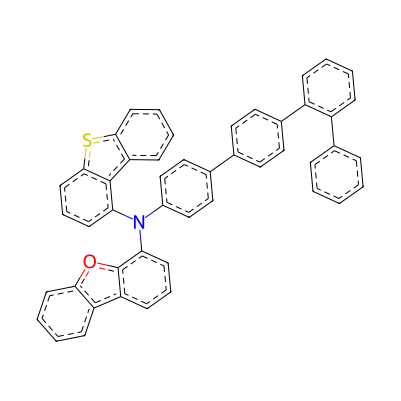 c1ccc(-c2ccccc2-c2ccc(-c3ccc(N(c4cccc5c4oc4ccccc45)c4cccc5sc6ccccc6c45)cc3)cc2)cc1